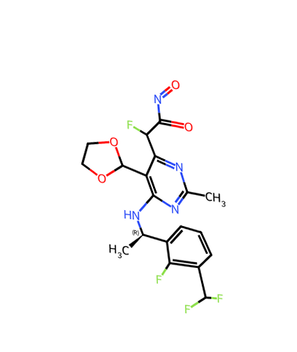 Cc1nc(N[C@H](C)c2cccc(C(F)F)c2F)c(C2OCCO2)c(C(F)C(=O)N=O)n1